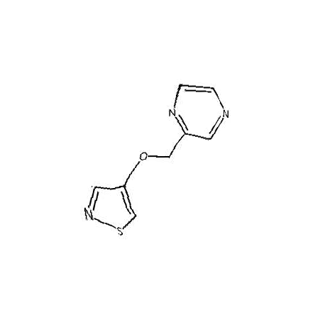 [c]1nscc1OCc1cnccn1